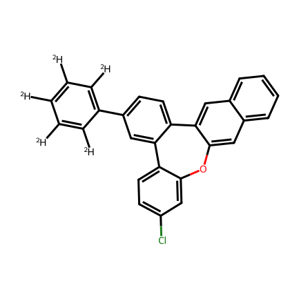 [2H]c1c([2H])c([2H])c(-c2ccc3c(c2)-c2ccc(Cl)cc2Oc2cc4ccccc4cc2-3)c([2H])c1[2H]